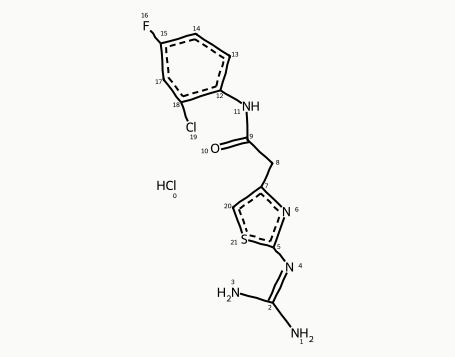 Cl.NC(N)=Nc1nc(CC(=O)Nc2ccc(F)cc2Cl)cs1